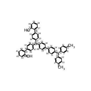 Cc1ccc(N(c2ccc(C)cc2)c2ccc(-c3ccc(N(c4ccc(-c5ccccc5O)cc4)c4ccc(-c5ccccc5O)cc4)cc3)cc2)cc1